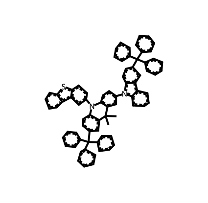 CC1(C)c2cc(-n3c4ccccc4c4cc(C(c5ccccc5)(c5ccccc5)c5ccccc5)ccc43)ccc2N(c2ccc3sc4ccccc4c3c2)c2ccc(C(c3ccccc3)(c3ccccc3)c3ccccc3)cc21